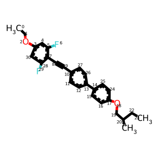 CCOc1cc(F)c(C#Cc2ccc(-c3ccc(OCC(C)CC)cc3)cc2)c(F)c1